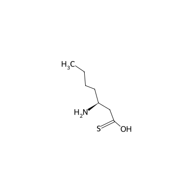 CCCC[C@H](N)CC(O)=S